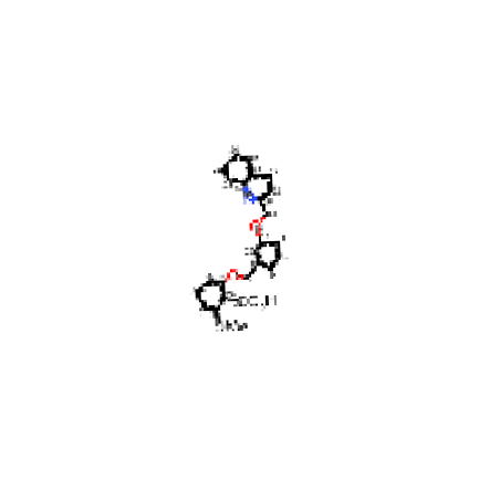 COc1cccc(OCc2cccc(OCc3ccc4ccccc4n3)c2)c1C(=O)O